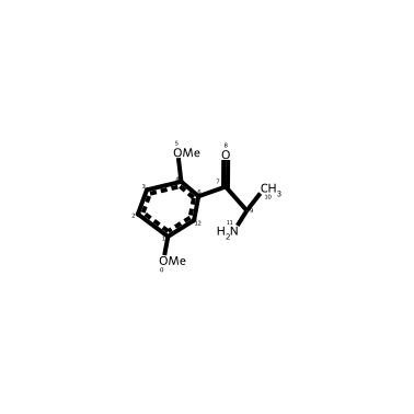 COc1ccc(OC)c(C(=O)C(C)N)c1